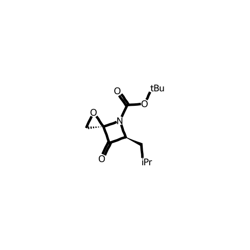 CC(C)C[C@H]1C(=O)[C@]2(CO2)N1C(=O)OC(C)(C)C